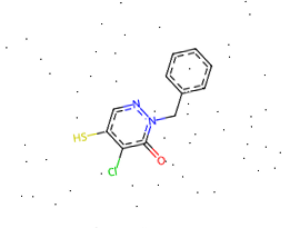 O=c1c(Cl)c(S)cnn1Cc1ccccc1